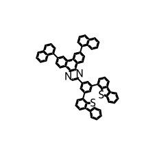 c1ccc2c(-c3ccc4c(c3)c3cc(-c5cccc6ccccc56)ccc3c3nc(-c5cc(-c6cccc7c6sc6ccccc67)cc(-c6cccc7c6sc6ccccc67)c5)cnc43)cccc2c1